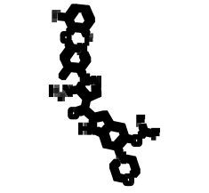 Cc1cc(Oc2c(F)cccc2F)ncc1-n1ncc(C(=O)c2cc3cc(OC(F)F)c(N4CCOCC4)cc3[nH]2)c1N